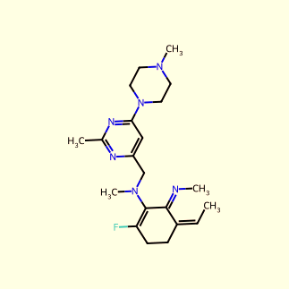 C/C=C1/CCC(F)=C(N(C)Cc2cc(N3CCN(C)CC3)nc(C)n2)/C1=N/C